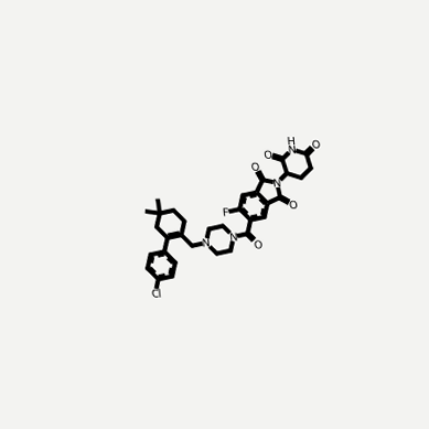 CC1(C)CCC(CN2CCN(C(=O)c3cc4c(cc3F)C(=O)N(C3CCC(=O)NC3=O)C4=O)CC2)=C(c2ccc(Cl)cc2)C1